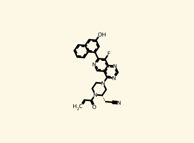 C=CC(=O)N1CCN(c2ncnc3c(F)c(-c4cc(O)cc5ccccc45)ncc23)C[C@@H]1CC#N